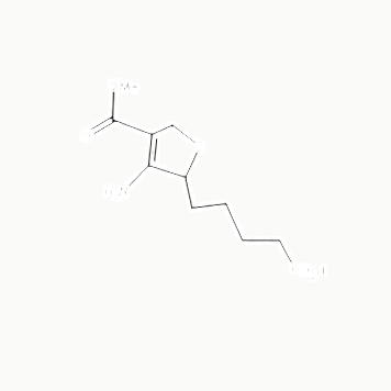 COC(=O)C1=C(N)C(CCCCC(=O)O)SC1